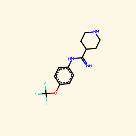 N=C(Nc1ccc(OC(F)(F)F)cc1)C1CCNCC1